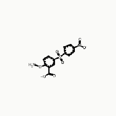 NOc1ccc(S(=O)(=O)c2ccc([N+](=O)[O-])cc2)cc1C(=O)O